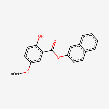 CCCCCCCCOc1ccc(O)c(C(=O)Oc2ccc3ccccc3c2)c1